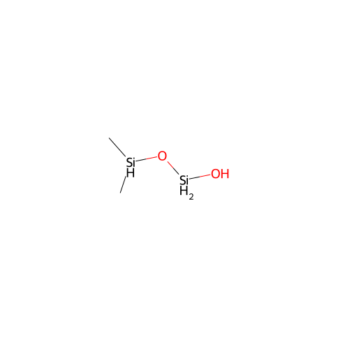 C[SiH](C)O[SiH2]O